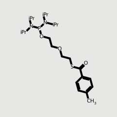 Cc1ccc(C(=O)SCCOCCOP(N(C(C)C)C(C)C)N(C(C)C)C(C)C)cc1